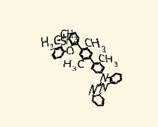 Cc1cc(N2C3=NC4C=CC=CC4N3c3ccccc32)ccc1-c1cc(C)c(-c2cccc3c2Oc2ccccc2[Si]3(C)C)cc1C